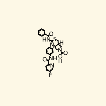 O=C(NC1=N[C@@]2(c3cccc(NC(=O)c4ccc(F)cn4)c3)CN(C(=O)O)C[C@H]2CS1)c1ccccc1